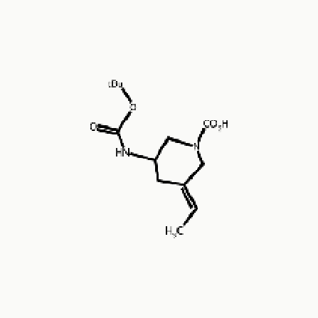 CC=C1CC(NC(=O)OC(C)(C)C)CN(C(=O)O)C1